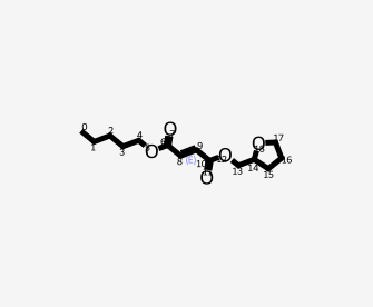 CCCCCOC(=O)/C=C/C(=O)OCC1CCCO1